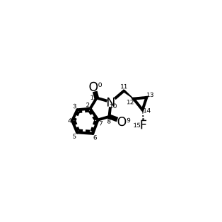 O=C1c2ccccc2C(=O)N1C[C@H]1C[C@@H]1F